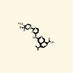 CC(C)c1cnc(C(=O)O)c2cnc(Nc3ccnc(N4CC[C@@H](O)[C@@](C)(F)C4)n3)cc12